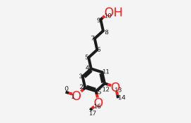 COc1cc(CCCCCO)cc(OC)c1OC